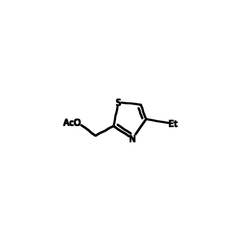 CCc1csc(COC(C)=O)n1